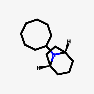 C1CCCC(N2[C@@H]3CCC[C@H]2CC3)CCC1